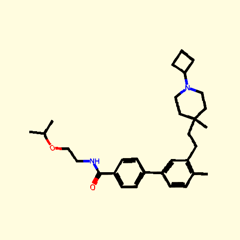 Cc1ccc(-c2ccc(C(=O)NCCOC(C)C)cc2)cc1CCC1(C)CCN(C2CCC2)CC1